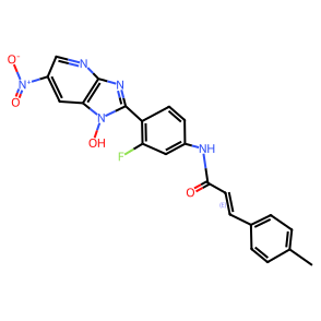 Cc1ccc(/C=C/C(=O)Nc2ccc(-c3nc4ncc([N+](=O)[O-])cc4n3O)c(F)c2)cc1